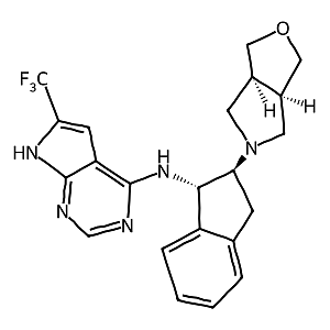 FC(F)(F)c1cc2c(N[C@H]3c4ccccc4C[C@@H]3N3C[C@H]4COC[C@H]4C3)ncnc2[nH]1